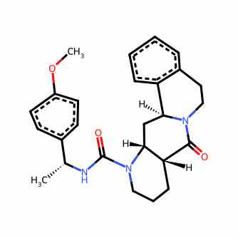 COc1ccc([C@@H](C)NC(=O)N2CCC[C@H]3C(=O)N4CCc5ccccc5[C@@H]4C[C@H]32)cc1